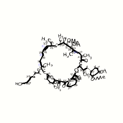 CO[C@@H]1C[C@H](C[C@@H](C)[C@@H]2CC(=O)[C@H](C)/C=C(\C)[C@@H](O)[C@@H](OC)C(=O)[C@H](C)C[C@H](C)/C=C/C=C/C=C(\C)[C@@H](OCCSCCO)C[C@@H]3CC[C@@H](C)[C@@](O)(O3)C(=O)C(=O)N3CCCC[C@H]3C(=O)O2)CC[C@H]1O